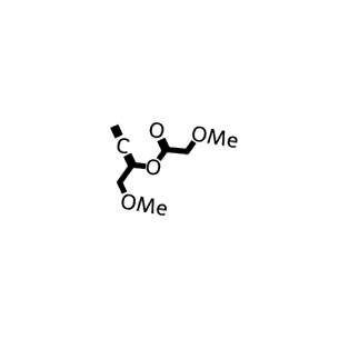 C=C=C(COC)OC(=O)COC